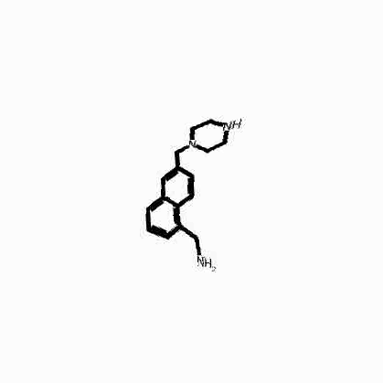 NCc1cccc2cc(CN3CCNCC3)ccc12